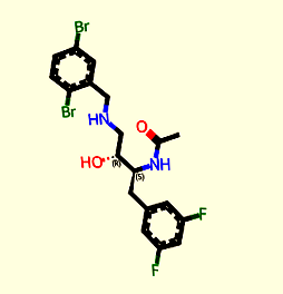 CC(=O)N[C@@H](Cc1cc(F)cc(F)c1)[C@H](O)CNCc1cc(Br)ccc1Br